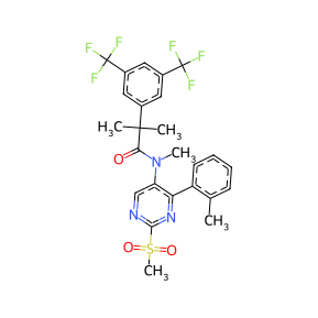 Cc1ccccc1-c1nc(S(C)(=O)=O)ncc1N(C)C(=O)C(C)(C)c1cc(C(F)(F)F)cc(C(F)(F)F)c1